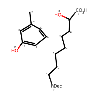 CCCCCCCCCCCCCCCCC(O)C(=O)O.Cc1cccc(O)c1